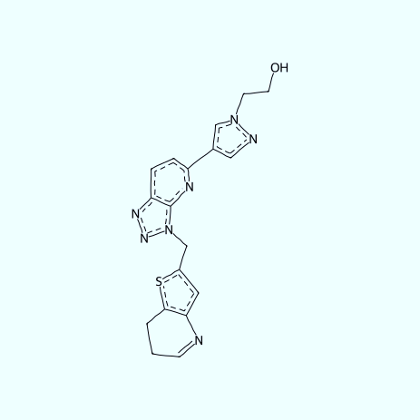 OCCn1cc(-c2ccc3nnn(Cc4cc5c(s4)CCC=N5)c3n2)cn1